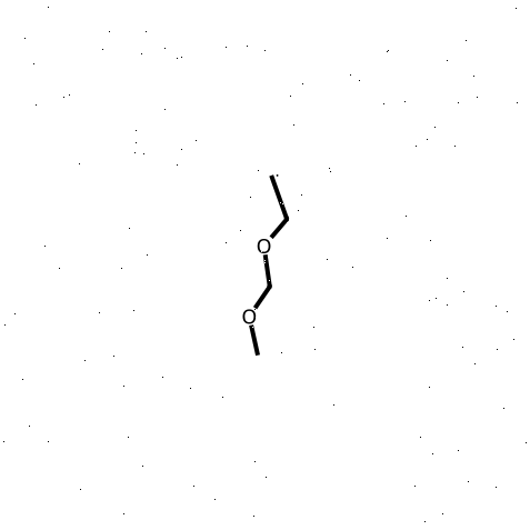 [CH2]COCOC